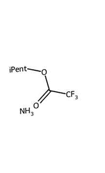 CCCC(C)OC(=O)C(F)(F)F.N